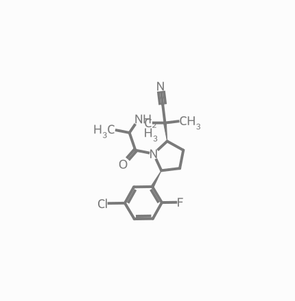 CC(N)C(=O)N1[C@H](c2cc(Cl)ccc2F)CC[C@@H]1C(C)(C)C#N